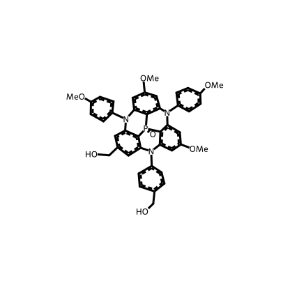 COc1ccc(N2c3cc(CO)cc4c3P3(=O)c5c(cc(OC)cc5N(c5ccc(OC)cc5)c5cc(OC)cc2c53)N4c2ccc(CO)cc2)cc1